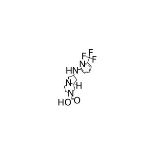 O=C(O)N1CCN2C[C@@H](Nc3cccc(C(F)(F)F)n3)C[C@H]2C1